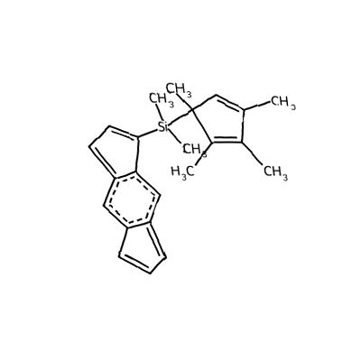 CC1=CC(C)([Si](C)(C)C2=CC=c3cc4c(cc32)=CC=C4)C(C)=C1C